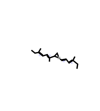 CC/C(C)=C/C=C/N1CC1/C(C)=C/C=C(\C)CC